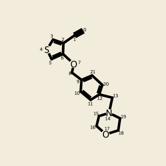 C#Cc1cscc1OCc1ccc(CN2CCOCC2)cc1